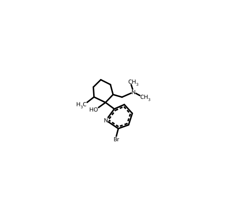 CC1CCCC(CN(C)C)C1(O)c1cccc(Br)n1